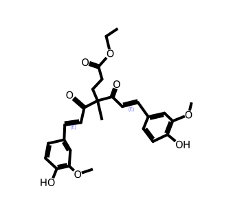 CCOC(=O)CCC(C)(C(=O)/C=C/c1ccc(O)c(OC)c1)C(=O)/C=C/c1ccc(O)c(OC)c1